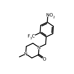 CN1CCN(Cc2ccc([N+](=O)[O-])cc2C(F)(F)F)C(=O)C1